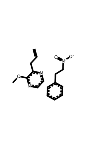 C=CCc1nccnc1OC.O=[N+]([O-])CCc1ccccc1